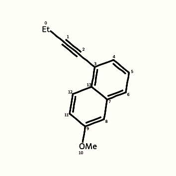 CCC#Cc1cccc2cc(OC)ccc12